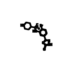 CC(Nc1cc(-c2n[nH]c(=O)o2)ccc1Br)C1CCNCC1